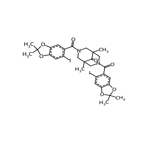 CC1(C)Oc2cc(I)c(C(=O)N3CC4(C)CN(C(=O)c5cc6c(cc5I)OC(C)(C)O6)CC(C)(C3)C4=O)cc2O1